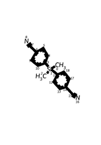 C[Si](C)(c1ccc(C#N)cc1)c1ccc(C#N)cc1